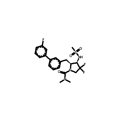 CN(C)C(=O)N1CC(F)(F)[C@H](NS(C)(=O)=O)[C@@H]1Cc1cccc(-c2cccc(F)c2)c1